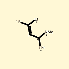 CCCC(/C=C(/F)CC)NC